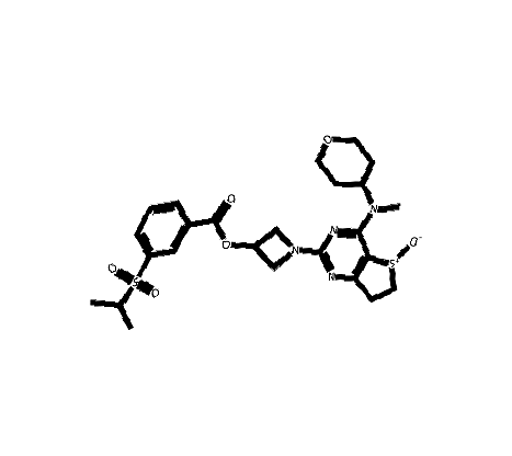 CC(C)S(=O)(=O)c1cccc(C(=O)OC2CN(c3nc4c(c(N(C)C5CCOCC5)n3)[S+]([O-])CC4)C2)c1